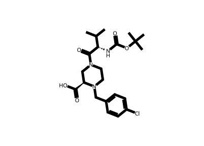 CC(C)[C@H](NC(=O)OC(C)(C)C)C(=O)N1CCN(Cc2ccc(Cl)cc2)[C@@H](C(=O)O)C1